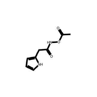 CC(=O)ONC(=O)Cc1ccc[nH]1